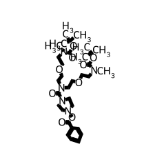 CN(CCOCCN(CCOCCN(C)C(=O)OC(C)(C)C)C(=O)N1CCN(OC(=O)c2ccccc2)CC1)C(=O)OC(C)(C)C